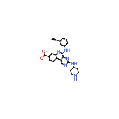 C#Cc1cccc(Nc2nc3cc(C(=O)O)ccc3c3cnc(NC4CCNCC4)nc23)c1